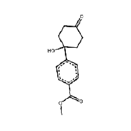 COC(=O)c1ccc(C2(O)CCC(=O)CC2)cc1